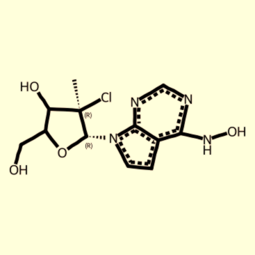 C[C@@]1(Cl)C(O)C(CO)O[C@H]1n1ccc2c(NO)ncnc21